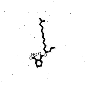 CCCC(CCCCCCCCCC(C)C)OC(=O)c1ccccc1C(=O)O